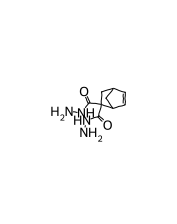 NNC(=O)C1(C(=O)NN)CC2C=CC1C2